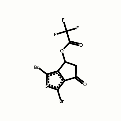 O=C1CC(OC(=O)C(F)(F)F)c2c(Br)sc(Br)c21